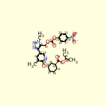 Cc1cc(-c2nnn(C)c2COC(=O)Oc2ccc([N+](=O)[O-])cc2)cnc1O[C@H]1CCC[C@H](C(=O)OC(C)C)C1